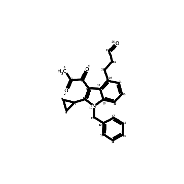 CC(=O)C(=O)c1c(C2CC2)n(Cc2ccccc2)c2cccc(CCC=O)c12